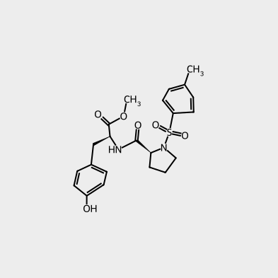 COC(=O)[C@H](Cc1ccc(O)cc1)NC(=O)[C@@H]1CCCN1S(=O)(=O)c1ccc(C)cc1